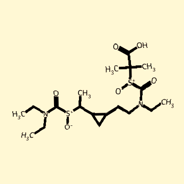 CCN(CC)C(=O)[S+]([O-])C(C)C1CC1CCN(CC)C(=O)[S+]([O-])C(C)(C)C(=O)O